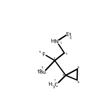 CCNCC(F)(C(C)(C)C)C1(C)CC1